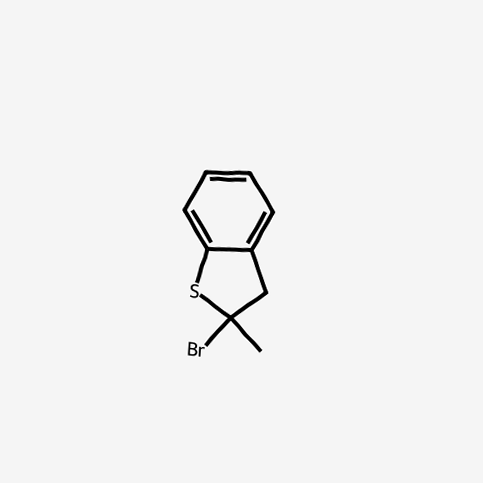 CC1(Br)Cc2ccccc2S1